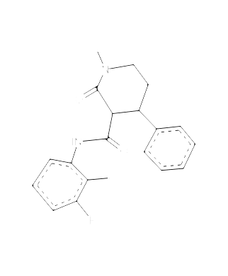 CN1CCC(c2ccccc2)C(C(=O)Nc2cccc(F)c2F)C1=O